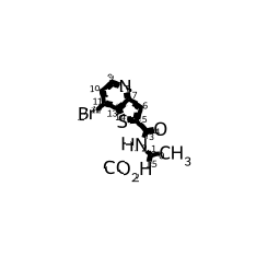 CC(NC(=O)c1cc2nccc(Br)c2s1)C(=O)O